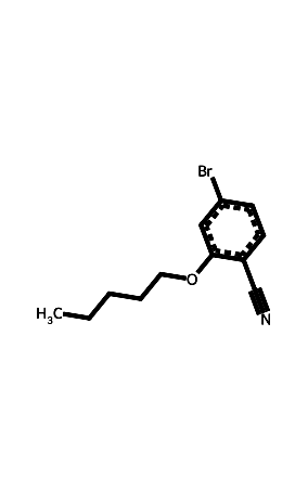 CCCCCOc1cc(Br)ccc1C#N